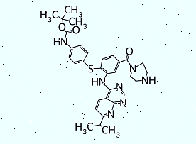 CC(C)c1ccc2c(Nc3cc(C(=O)N4CCNCC4)ccc3Sc3ccc(NC(=O)OC(C)(C)C)cc3)ncnc2n1